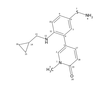 Cn1cc(-c2cc(SN)ccc2NCC2CC2)ccc1=O